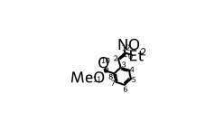 CC/C(=C\c1ccccc1C(=O)OC)[N+](=O)[O-]